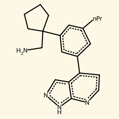 CCCc1cc(-c2ccnc3[nH]ncc23)cc(C2(CN)CCCC2)c1